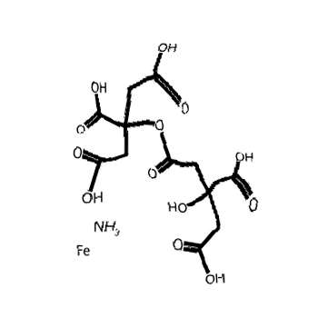 N.O=C(O)CC(O)(CC(=O)OC(CC(=O)O)(CC(=O)O)C(=O)O)C(=O)O.[Fe]